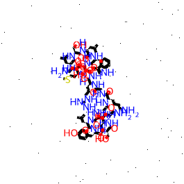 CSCC[C@H](NC(=O)[C@H](Cc1c[nH]c2ccccc12)NC(=O)[C@H](CCCNC(=N)N)NC(=O)CNC(=O)[C@H](CCCCN)NC(=O)CNC(=O)[C@H](CC(C)C)NC(=O)[C@H](CO)NC(=O)[C@H](Cc1ccc(O)cc1)NC(=O)[C@H](CC(C)C)NC(=O)[C@@H](N)CCCCN)C(=O)N[C@@H](CC(C)C)C(=O)N[C@@H](CO)C(=O)N[C@@H](CC(C)C)C(=O)N[C@@H](C)C(=O)N[C@@H](CCCCN)C(=O)O